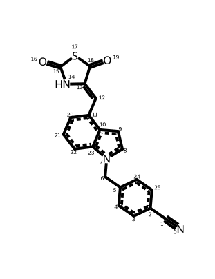 N#Cc1ccc(Cn2ccc3c(C=C4NC(=O)SC4=O)cccc32)cc1